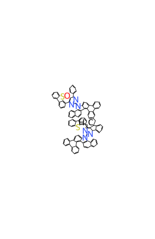 CC1(Cc2ccc3c(c2)c2ccccc2c2ccc4c(c5ccc6ccccc6c5n4-c4nc(-c5cccc6c5sc5ccccc56)c5oc6ccccc6c5n4)c23)c2ccccc2-c2nc(-n3c4ccc5c6ccccc6c6ccccc6c5c4c4ccc5ccccc5c43)nc(-c3cccc4c3sc3ccccc34)c21